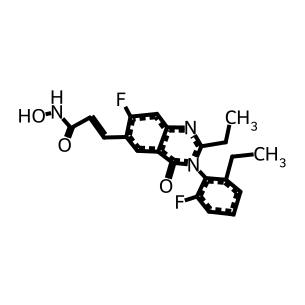 CCc1cccc(F)c1-n1c(CC)nc2cc(F)c(/C=C/C(=O)NO)cc2c1=O